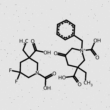 CCC1(C(=O)O)CC(=O)C[N+](Cc2ccccc2)(C(=O)O)C1.CCC1(C(=O)O)CN(C(=O)O)CC(F)(F)C1